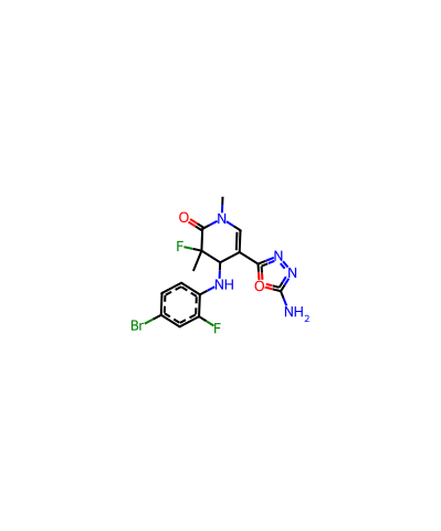 CN1C=C(c2nnc(N)o2)C(Nc2ccc(Br)cc2F)C(C)(F)C1=O